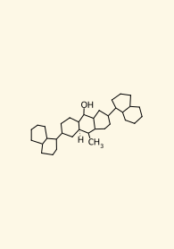 CC1C2CCC(C3CCCC4CCCCC43)CC2C(O)C2CCC(C3CCCC4CCCCC43)C[C@H]12